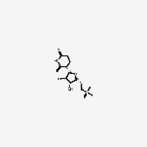 C=C1NC(=O)CCC1[C@@H]1O[C@H](CCP(=C)(C)C)[C@@H](O)[C@H]1O